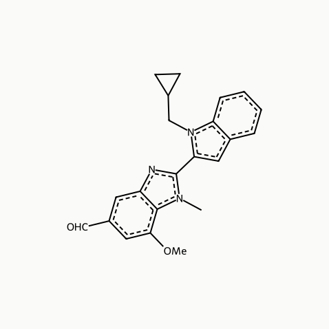 COc1cc(C=O)cc2nc(-c3cc4ccccc4n3CC3CC3)n(C)c12